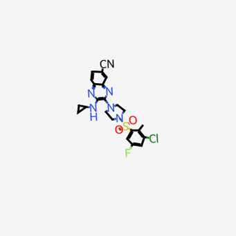 Cc1c(Cl)cc(F)cc1S(=O)(=O)N1CCN(c2nc3cc(C#N)ccc3nc2NC2CC2)CC1